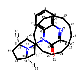 CC(=O)c1nc2ccccc2n([C@H]2C[C@H]3CC[C@@H](C2)N3C2CCCCCCCCCCC2)c1=O